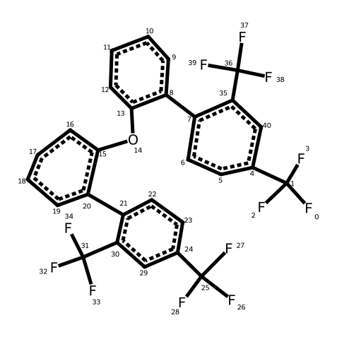 FC(F)(F)c1ccc(-c2ccccc2Oc2ccccc2-c2ccc(C(F)(F)F)cc2C(F)(F)F)c(C(F)(F)F)c1